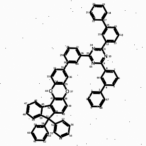 c1ccc(-c2cccc(-c3nc(-c4cccc(-c5ccccc5)c4)nc(-c4cccc(-c5ccc6c(c5)Oc5ccc7c(c5O6)-c5ccccc5C7(c5ccccc5)c5ccccc5)c4)n3)c2)cc1